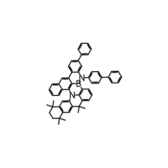 CC1(C)CCC(C)(C)c2cc3c(cc21)N1c2c(cccc2C3(C)C)B2c3c(cc4ccccc4c31)-c1ccc(-c3ccccc3)cc1N2c1ccc(-c2ccccc2)cc1